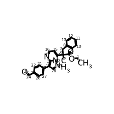 CCOC(=O)C(C)(Cc1ccccc1)c1ccnc2c(-c3ccc(C=O)cc3)cnn12